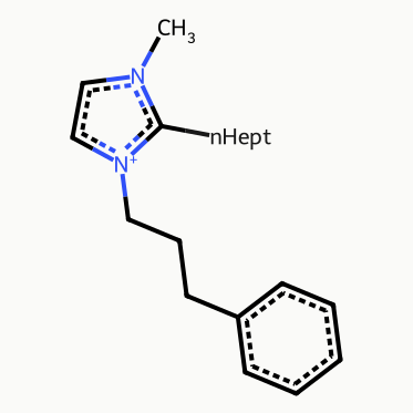 CCCCCCCc1n(C)cc[n+]1CCCc1ccccc1